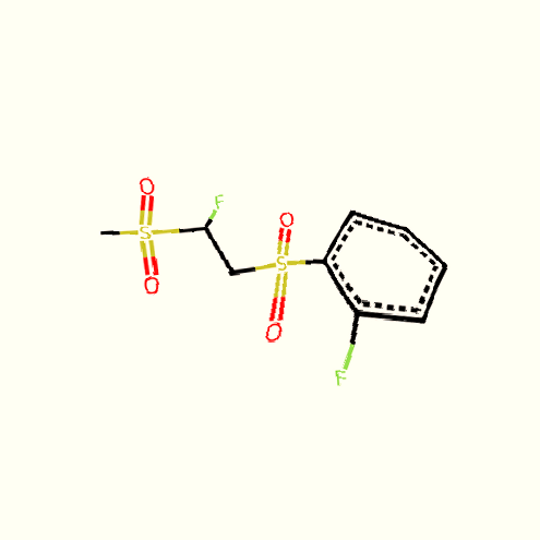 CS(=O)(=O)C(F)CS(=O)(=O)c1ccccc1F